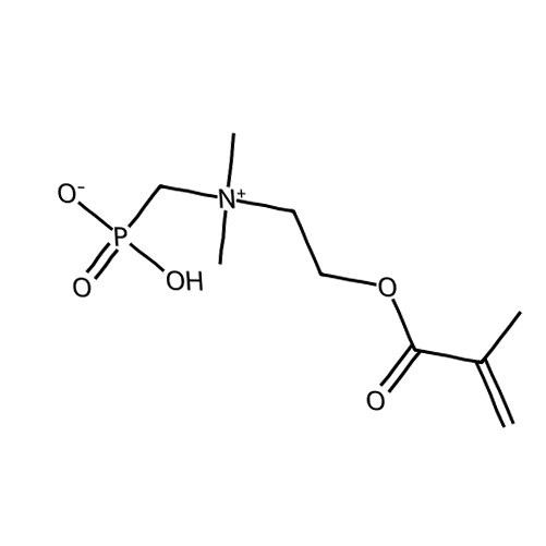 C=C(C)C(=O)OCC[N+](C)(C)CP(=O)([O-])O